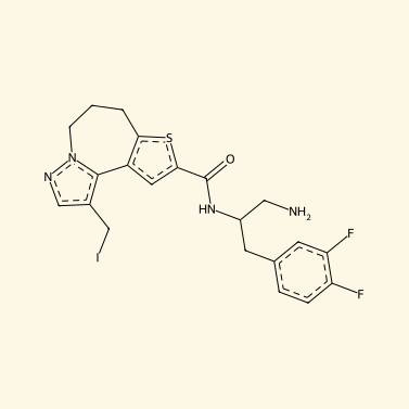 NCC(Cc1ccc(F)c(F)c1)NC(=O)c1cc2c(s1)CCCn1ncc(CI)c1-2